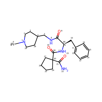 CC(C)N1CCC(CNC(=O)[C@@H](Cc2ccccc2)NC(=O)C2(C(N)=O)CCCC2)CC1